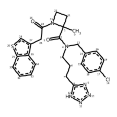 CC1(C(=O)N(CCCc2nnn[nH]2)Cc2ccc(Cl)cc2)CCN1C(=O)Cc1csc2ccccc12